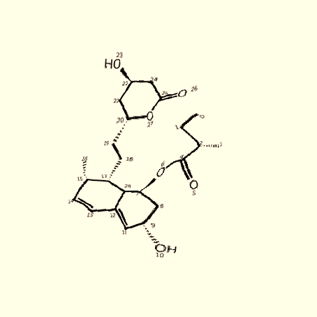 CC[C@H](C)C(=O)O[C@H]1C[C@H](O)C=C2C=C[C@H](C)[C@H](CC[C@@H]3C[C@@H](O)CC(=O)O3)C21